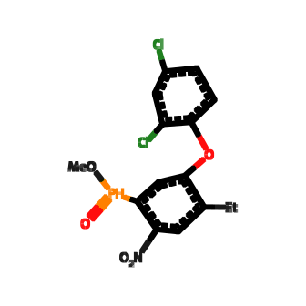 CCc1cc([N+](=O)[O-])c([PH](=O)OC)cc1Oc1ccc(Cl)cc1Cl